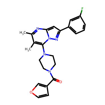 Cc1nc2cc(-c3cccc(F)c3)nn2c(N2CCN(C(=O)c3ccoc3)CC2)c1C